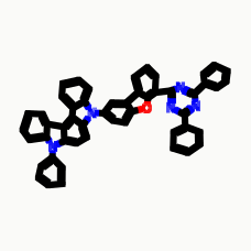 c1ccc(-c2nc(-c3ccccc3)nc(-c3cccc4c3oc3ccc(-n5c6ccccc6c6c7c8ccccc8n(-c8ccccc8)c7ccc65)cc34)n2)cc1